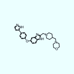 c1cc(-c2ccc(Oc3ccc4[nH]c(CN5CCC(CN6CCOCC6)CC5)nc4c3)cc2)[nH]n1